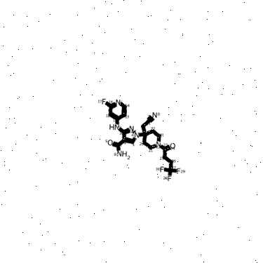 N#CCC1(n2cc(C(N)=O)c(Nc3ccnc(F)c3)n2)CCN(C(=O)CCC(F)(F)F)CC1